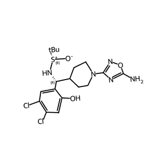 CC(C)(C)[S@+]([O-])N[C@@H](c1cc(Cl)c(Cl)cc1O)C1CCN(c2noc(N)n2)CC1